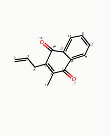 C=CCC1=C(C)C(=O)c2ccccc2C1=O